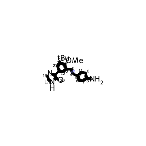 COc1c(/C=C/c2ccc(N)cc2)cc(-c2ncc[nH]c2=O)cc1C(C)(C)C